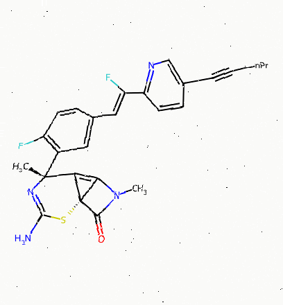 CCCC#Cc1ccc(/C(F)=C/c2ccc(F)c([C@@]3(C)N=C(N)S[C@@]45C(=O)N(C)C4=C53)c2)nc1